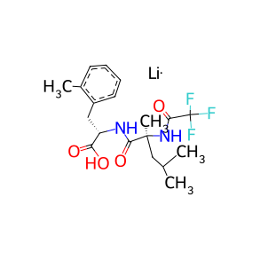 Cc1ccccc1C[C@H](NC(=O)[C@](C)(CC(C)C)NC(=O)C(F)(F)F)C(=O)O.[Li]